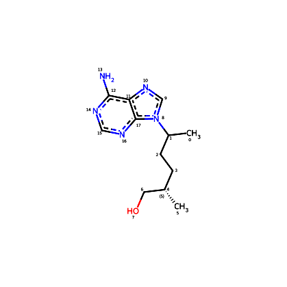 CC(CC[C@H](C)CO)n1cnc2c(N)ncnc21